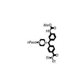 CCCCCN1CCN([C@@H](c2ccc(C(=O)N(CC)CC)cc2)c2cccc(NC(=O)OC)c2)CC1